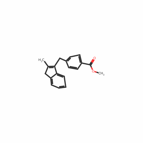 COC(=O)c1ccc(CC2=C(C)Cc3ccccc32)cc1